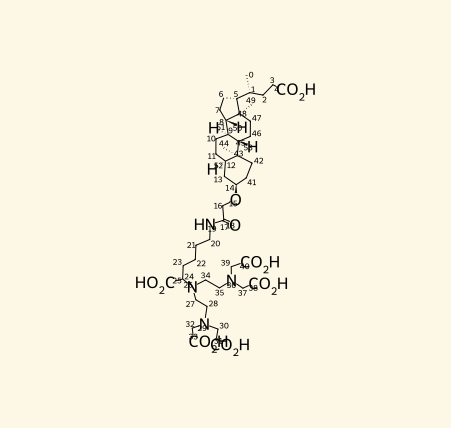 C[C@H](CCC(=O)O)[C@H]1CC[C@H]2[C@@H]3CC[C@@H]4C[C@H](OCC(=O)NCCCCC(C(=O)O)N(CCN(CC(=O)O)CC(=O)O)CCN(CC(=O)O)CC(=O)O)CC[C@]4(C)[C@H]3CC[C@]12C